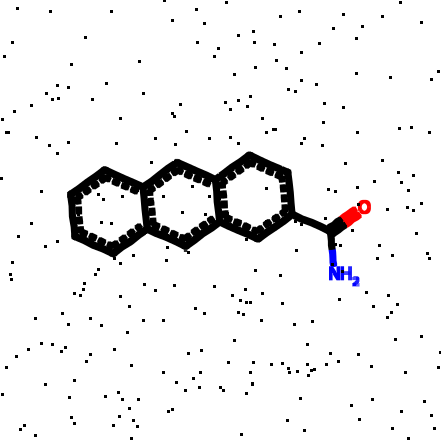 NC(=O)c1ccc2cc3ccccc3[c]c2c1